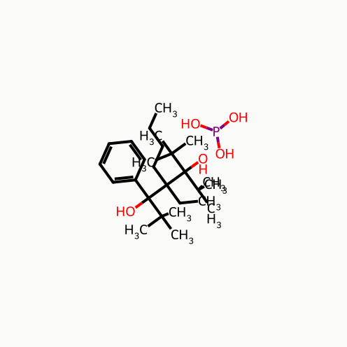 CCCCC(CC)(C(O)(c1ccccc1)C(C)(C)C)C(O)(C(C)(C)C)C(C)(C)C.OP(O)O